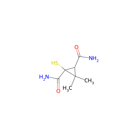 CC1(C)C(C(N)=O)C1(S)C(N)=O